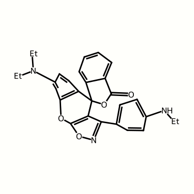 CCNc1ccc(-c2noc3c2C2(OC(=O)c4ccccc42)c2ccc(N(CC)CC)cc2O3)cc1